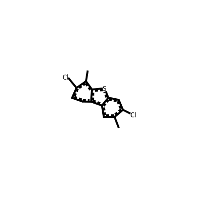 Cc1cc2c(cc1Cl)sc1c(C)c(Cl)ccc12